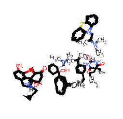 C=CCC1(CC(C)C)C(=O)NC(=O)NC1=O.CC(C)Cc1ccc(C(C)C(=O)O)cc1.CC(CN1c2ccccc2Sc2ccccc21)N(C)C.COc1cccc([C@@]2(O)CCCC[C@@H]2CN(C)C)c1.O=C1CC[C@@]2(O)[C@H]3Cc4ccc(O)c5c4[C@@]2(CCN3CC2CC2)[C@H]1O5